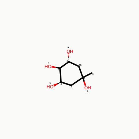 CC1(O)C[C@@H](O)C(O)[C@H](O)C1